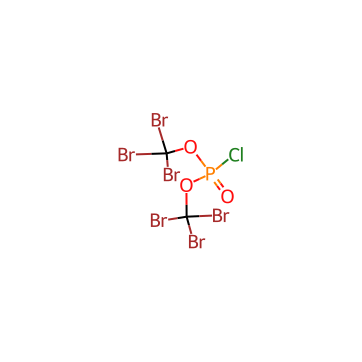 O=P(Cl)(OC(Br)(Br)Br)OC(Br)(Br)Br